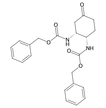 O=C1CC[C@H](NC(=O)OCc2ccccc2)[C@H](NC(=O)OCc2ccccc2)C1